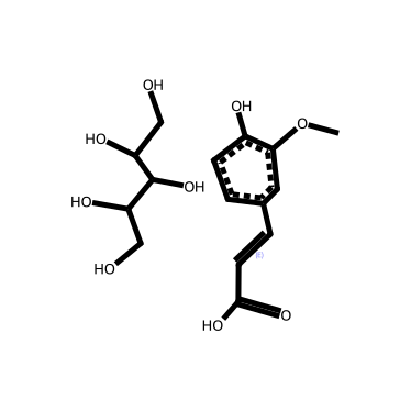 COc1cc(/C=C/C(=O)O)ccc1O.OCC(O)C(O)C(O)CO